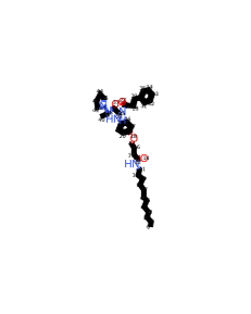 CCCCCCCCCCCCNC(=O)CCCOc1ccc(NC(NC(=O)C=Cc2ccccc2)C(=O)N(CC)N2CCCC2)cc1